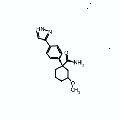 COC1CCCC(C(N)=O)(c2ccc(-c3cc[nH]n3)cc2)C1